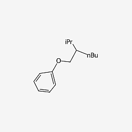 CCCCC(COc1ccccc1)C(C)C